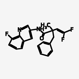 CC(C=C(F)F)(Cc1ccccc1)C(=O)Nc1cnc2c(F)cccc2c1